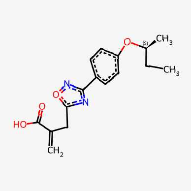 C=C(Cc1nc(-c2ccc(O[C@@H](C)CC)cc2)no1)C(=O)O